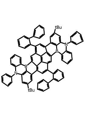 CC(C)(C)c1cc2c3c(c1)N(c1ccccc1)c1ccccc1B3c1cc3c(-c4ccccc4-c4ccccc4)cc4c5c(cc6c(-c7ccccc7-c7ccccc7)cc-2c1c6c35)B1c2ccccc2N(c2ccccc2)c2cc(C(C)(C)C)cc-4c21